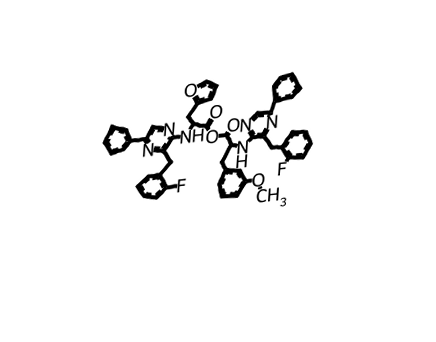 COc1cccc(CC(Nc2ncc(-c3ccccc3)nc2Cc2ccccc2F)C(=O)OC(=O)C(Cc2ccco2)Nc2ncc(-c3ccccc3)nc2Cc2ccccc2F)c1